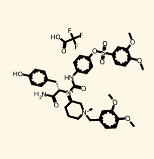 COc1ccc(C[N+]2(C)CCC/C(=[N+](/C(=O)Nc3ccc(OS(=O)(=O)c4ccc(OC)c(OC)c4)cc3)[C@@H](Cc3ccc(O)cc3)C(N)=O)C2)cc1OC.O=C(O)C(F)(F)F